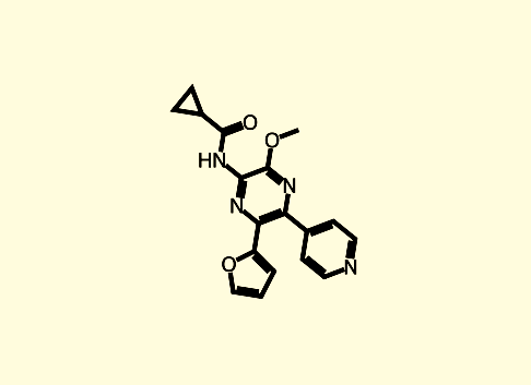 COc1nc(-c2ccncc2)c(-c2ccco2)nc1NC(=O)C1CC1